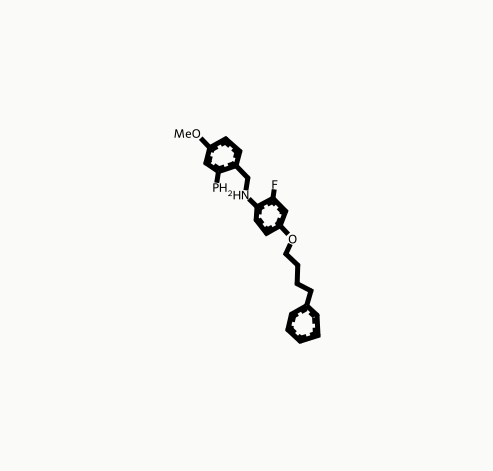 COc1ccc(CNc2ccc(OCCCCc3ccccc3)cc2F)c(P)c1